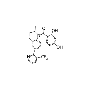 CC1CCc2cc(-c3ncccc3C(F)(F)F)ccc2N1C(=O)c1ccc(O)cc1O